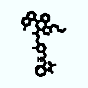 C=CC1=C(C(=C)/C=C\C=C/C)c2ccccc2C(c2cccc3ccc(C)cc23)C=C1/C(C)=C/CC1=C(C)CC(CNCC2=C(N(C)C(=C)C)C=CCC#C2)C=C1